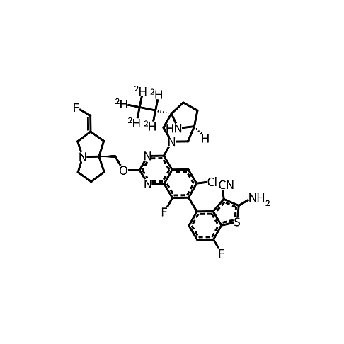 [2H]C([2H])([2H])C([2H])([2H])[C@@]12CC[C@@H](CN(c3nc(OC[C@@]45CCCN4C/C(=C\F)C5)nc4c(F)c(-c5ccc(F)c6sc(N)c(C#N)c56)c(Cl)cc34)C1)N2